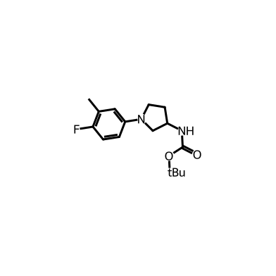 Cc1cc(N2CCC(NC(=O)OC(C)(C)C)C2)ccc1F